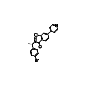 C[C@H](NC(=O)c1ccc(-c2ccncc2)cc1Cl)c1ccc(Br)cc1